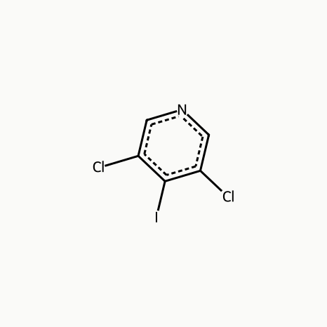 Clc1cncc(Cl)c1I